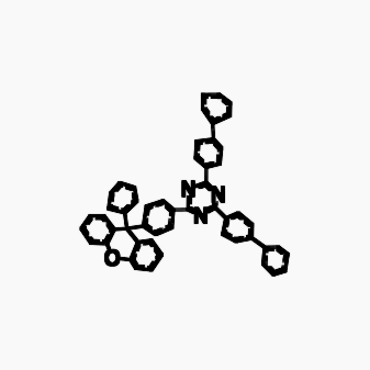 c1ccc(-c2ccc(-c3nc(-c4ccc(-c5ccccc5)cc4)nc(-c4ccc(C5(c6ccccc6)c6ccccc6Oc6ccccc65)cc4)n3)cc2)cc1